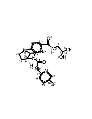 O=C(NC[C@H](O)C(F)(F)F)c1ccc2c(n1)N(C(=O)Nc1ccc(F)cn1)[C@H]1CCN2C1